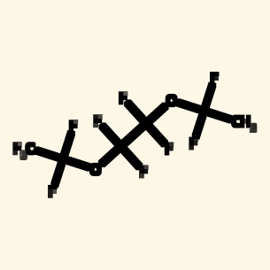 CC(F)(F)OC(F)(F)C(F)(F)OC(F)(F)C(F)(F)F